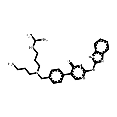 NCCCN(CCCNC(N)N)Cc1ccc(-c2c[nH]c(Nc3nc4ccccc4[nH]3)nc2=O)cc1